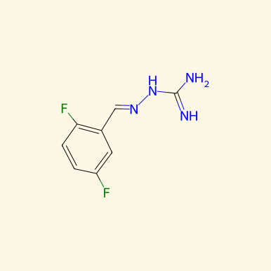 N=C(N)NN=Cc1cc(F)ccc1F